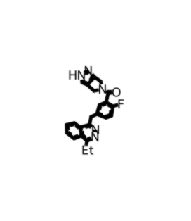 CCc1nnc(Cc2ccc(F)c(C(=O)N3Cc4c[nH]nc4C3)c2)c2ccccc12